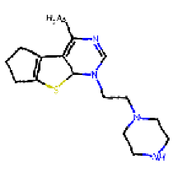 [AsH2]C1=C2C3=C(CCC3)SC2N(CCN2CCNCC2)C=N1